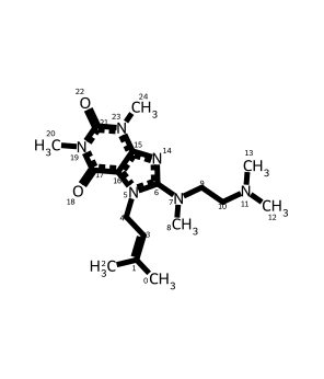 CC(C)=CCn1c(N(C)CCN(C)C)nc2c1c(=O)n(C)c(=O)n2C